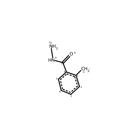 [CH2]c1ccccc1C(=O)NN